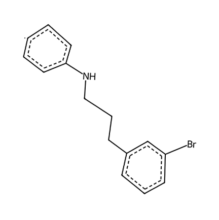 Brc1cccc(CCCNc2cc[c]cc2)c1